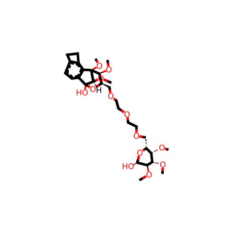 CO[C@@H]1[C@@H](OC)[C@H](O)O[C@H](COCCOCCOC[C@H]2O[C@]3(O)c4ccc5c(c4[C@@](OC)([C@H]3OC)[C@H]2OC)CC5)[C@@H]1OC